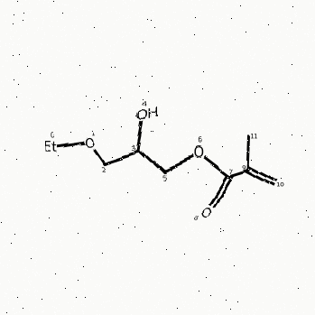 [CH2]COCC(O)COC(=O)C(=C)C